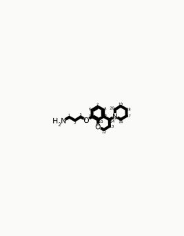 NCCCOc1cccc2c1OCCC2N1CCCCC1